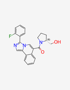 O=C(c1cn2c(-c3ccccc3F)ncc2c2ccccc12)N1CCC[C@@H]1CO